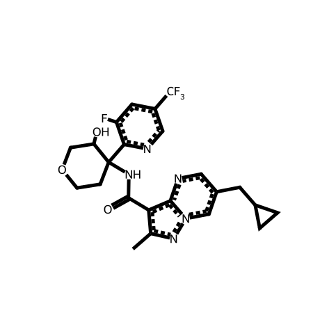 Cc1nn2cc(CC3CC3)cnc2c1C(=O)NC1(c2ncc(C(F)(F)F)cc2F)CCOCC1O